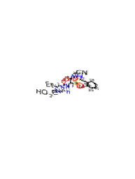 CCC1CN(C(=O)NC(CS(=O)(=O)Cc2ccccc2)C(=O)NCC#N)CCN1C(=O)O